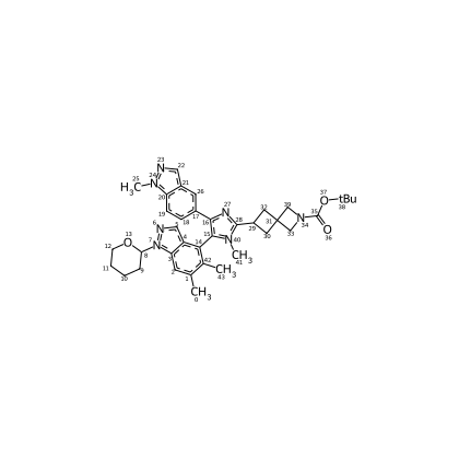 Cc1cc2c(cnn2C2CCCCO2)c(-c2c(-c3ccc4c(cnn4C)c3)nc(C3CC4(C3)CN(C(=O)OC(C)(C)C)C4)n2C)c1C